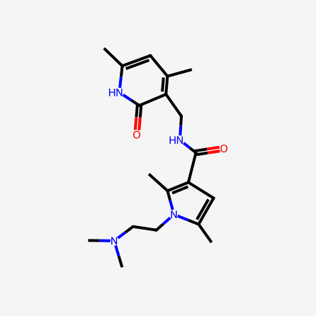 Cc1cc(C)c(CNC(=O)c2cc(C)n(CCN(C)C)c2C)c(=O)[nH]1